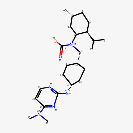 CC(C)[C@@H]1CC[C@@H](C)CC1N(C[C@H]1CC[C@@H](Nc2nccc(N(C)C)n2)CC1)C(=O)O